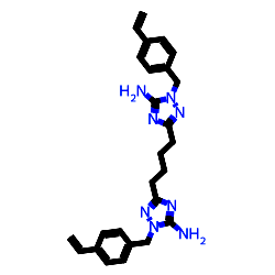 C=Cc1ccc(Cn2nc(CCCCc3nc(N)n(Cc4ccc(C=C)cc4)n3)nc2N)cc1